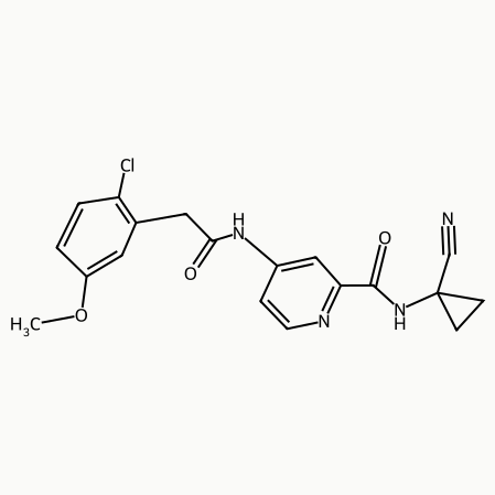 COc1ccc(Cl)c(CC(=O)Nc2ccnc(C(=O)NC3(C#N)CC3)c2)c1